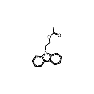 CC(=O)OCCn1c2ccccc2c2ccccc21